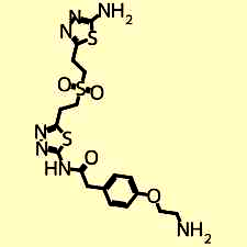 NCCOc1ccc(CC(=O)Nc2nnc(CCS(=O)(=O)CCc3nnc(N)s3)s2)cc1